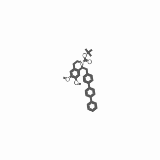 COc1cc2c(cc1OC)C(Cc1ccc(-c3ccc(-c4ccccc4)cc3)cc1)N(C(=O)OC(C)(C)C)CC2